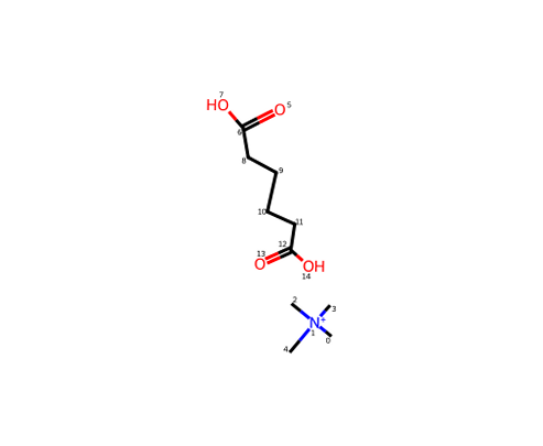 C[N+](C)(C)C.O=C(O)CCCCC(=O)O